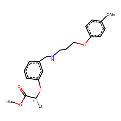 CCCCOC(=O)[C@@H](CC)Oc1cccc(CNCCCOc2ccc(OC)cc2)c1